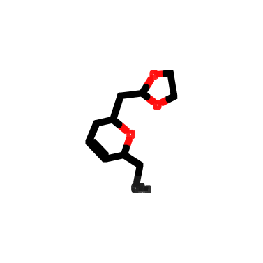 CC(=O)OCC1C=CCC(CC2OCCO2)O1